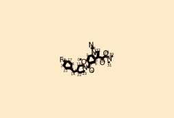 COc1cc2c(cc1C(=O)N1CCC(Cc3ccc(F)cc3)CC1)c(C(=O)C(=O)N(C)C)cn2C#N